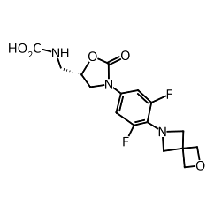 O=C(O)NC[C@H]1CN(c2cc(F)c(N3CC4(COC4)C3)c(F)c2)C(=O)O1